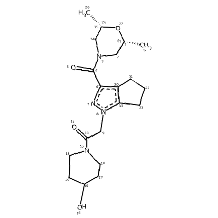 C[C@@H]1CN(C(=O)c2nn(CC(=O)N3CCC(O)CC3)c3c2CCC3)C[C@H](C)O1